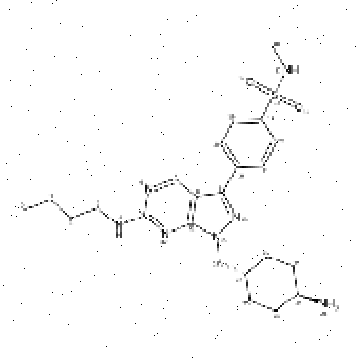 CCCCNc1ncc2c(-c3ccc(S(=O)(=O)NC)cc3)nn(C[C@H]3CC[C@H](N)CC3)c2n1